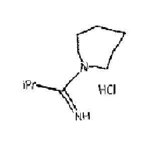 CC(C)C(=N)N1CCCC1.Cl